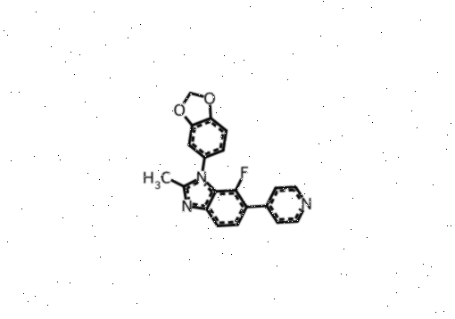 Cc1nc2ccc(-c3ccncc3)c(F)c2n1-c1ccc2c(c1)OCO2